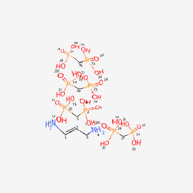 NC=CCN.O=P(O)(O)CP(=O)(O)O.O=P(O)(O)CP(=O)(O)O.O=P(O)(O)CP(=O)(O)O.O=P(O)(O)CP(=O)(O)O